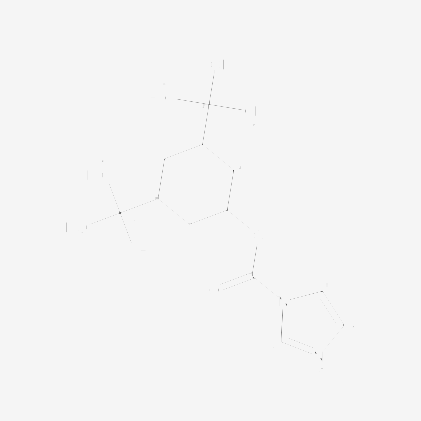 O=C(OC1CC(C(O)(C(F)(F)F)C(F)(F)F)CC(C(O)(C(F)(F)F)C(F)(F)F)C1)n1ccnc1